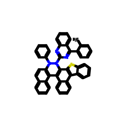 Cc1ccccc1-c1nc(N2c3c(c4ccccc4c4c3sc3ccccc34)-c3c(ccc4ccccc34)N2c2ccccc2)nc2ccccc12